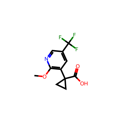 COc1ncc(C(F)(F)F)cc1C1(C(=O)O)CC1